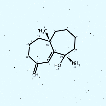 C=C1C=C2[C@@](C)(CCCC[C@]2(N)O)CCC1